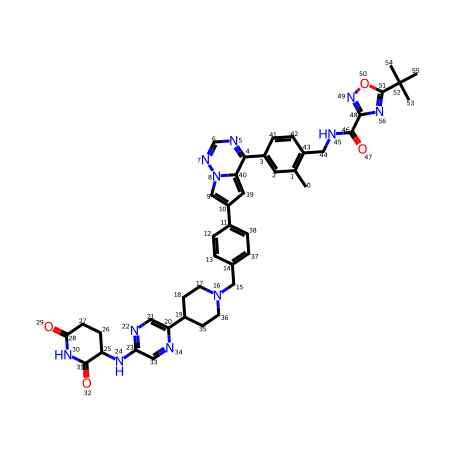 Cc1cc(-c2ncnn3cc(-c4ccc(CN5CCC(c6cnc(NC7CCC(=O)NC7=O)cn6)CC5)cc4)cc23)ccc1CNC(=O)c1noc(C(C)(C)C)n1